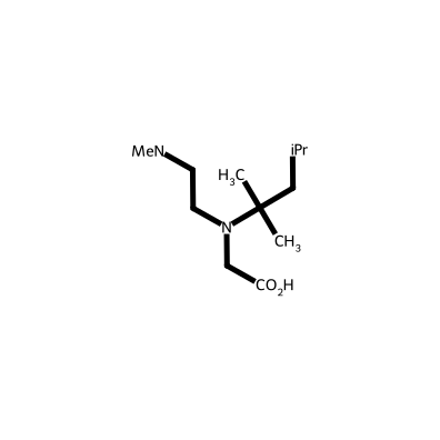 CNCCN(CC(=O)O)C(C)(C)CC(C)C